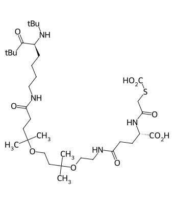 CC(C)(C)N[C@@H](CCCCNC(=O)CCC(C)(C)OCCC(C)(C)OCCNC(=O)CC[C@H](NC(=O)CSC(=O)O)C(=O)O)C(=O)C(C)(C)C